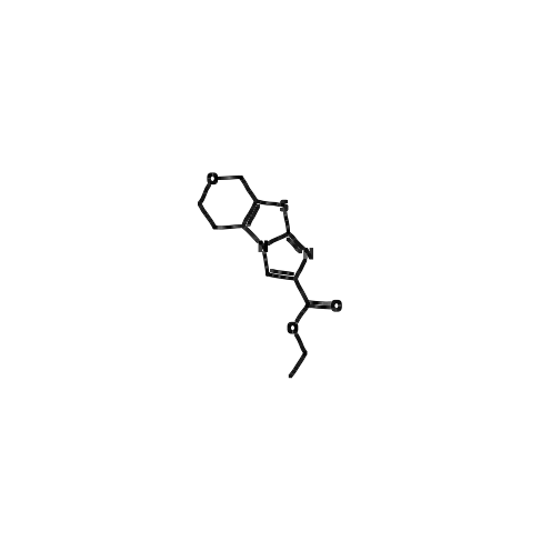 CCOC(=O)c1cn2c3c(sc2n1)COCC3